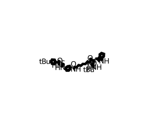 CC(C)(C)NC(=O)O[C@@H](Cc1c[nH]c2ccccc12)C(=O)NCCCCCCC(=O)Nc1ccc(NC(=S)NC(=O)c2ccc(C(C)(C)C)cc2)cc1